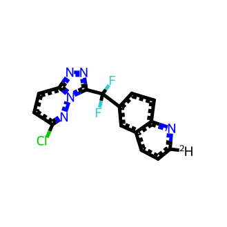 [2H]c1ccc2cc(C(F)(F)c3nnc4ccc(Cl)nn34)ccc2n1